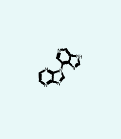 c1cnc2c(n1)ncn2-c1cncc2[nH]cnc12